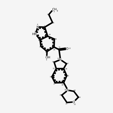 CCCc1n[nH]c2cc(O)c(C(=O)N3Cc4ccc(N5CCOCC5)cc4C3)cc12